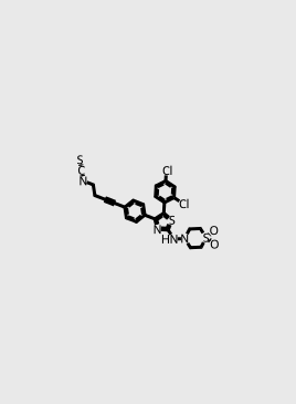 O=S1(=O)CCN(Nc2nc(-c3ccc(C#CCCN=C=S)cc3)c(-c3ccc(Cl)cc3Cl)s2)CC1